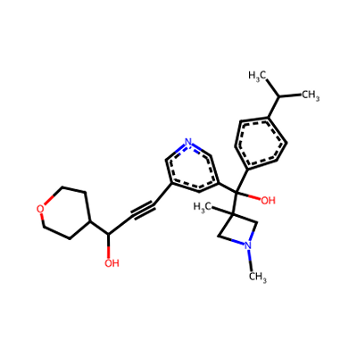 CC(C)c1ccc(C(O)(c2cncc(C#CC(O)C3CCOCC3)c2)C2(C)CN(C)C2)cc1